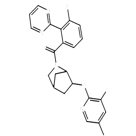 Cc1cnc(OC2CC3CC2N(C(=O)c2cccc(F)c2-c2ncccn2)C3)c(Cl)c1